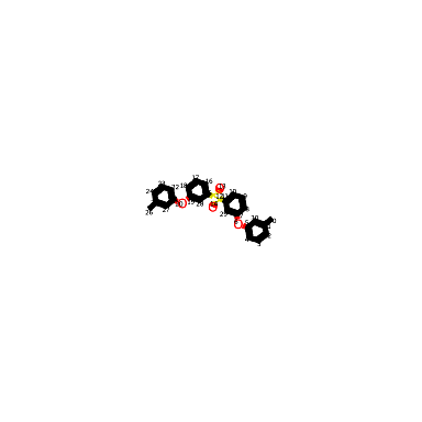 Cc1cccc(Oc2cccc(S(=O)(=O)c3cccc(Oc4cccc(C)c4)c3)c2)c1